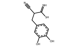 N#CC(Cc1ccc(O)c(O)c1)C(=N)S